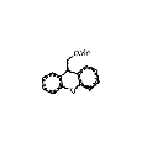 COCC1c2ccccc2Oc2ccccc21